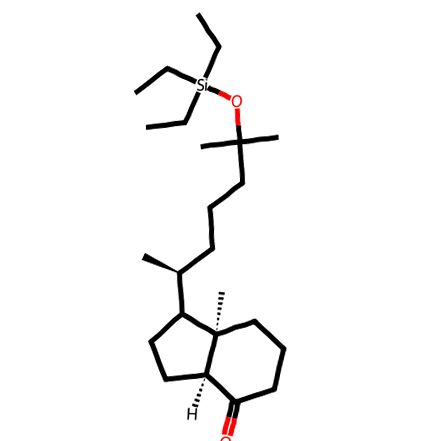 CC[Si](CC)(CC)OC(C)(C)CCC[C@H](C)C1CC[C@@H]2C(=O)CCC[C@]12C